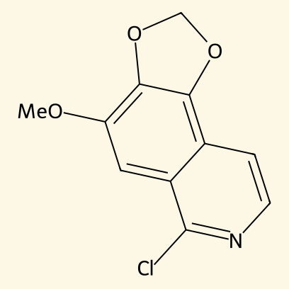 COc1cc2c(Cl)nccc2c2c1OCO2